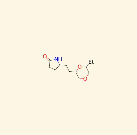 CCC1COCC(CCC2CCC(=O)N2)O1